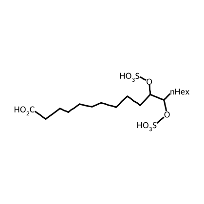 CCCCCCC(OS(=O)(=O)O)C(CCCCCCCCCC(=O)O)OS(=O)(=O)O